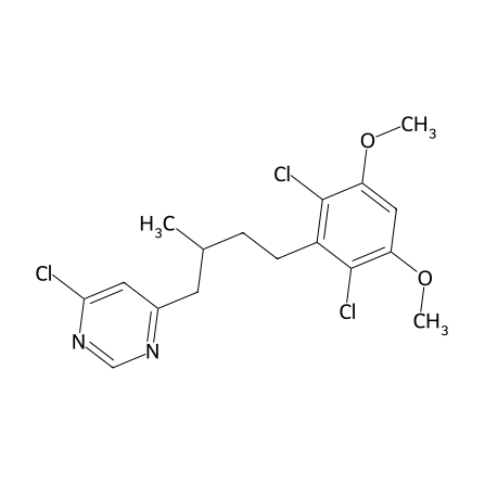 COc1cc(OC)c(Cl)c(CCC(C)Cc2cc(Cl)ncn2)c1Cl